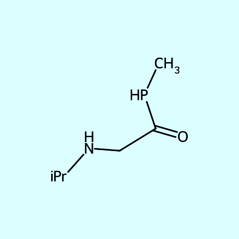 CPC(=O)CNC(C)C